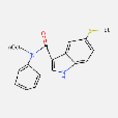 CCCCCCCCN(C(=O)c1[c][nH]c2ccc(SCC)cc12)c1ccccc1